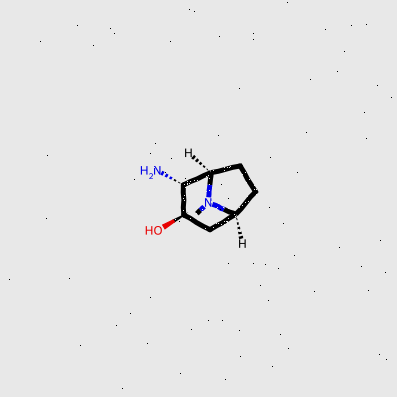 CN1[C@H]2CC[C@@H]1[C@@H](N)[C@H](O)C2